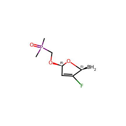 B[C@@H]1O[C@H](OCP(C)(C)=O)C=C1F